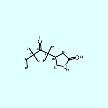 CCC(C)(C)C(=O)C(C)(C)C1COC(=O)C1